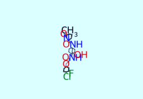 COc1cccc(C(=O)NC23CCC(NC(=O)COc4ccc(Cl)c(F)c4)(CC2)C(O)C3)n1